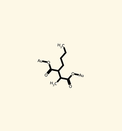 CCCCC(C(=O)[O][Au])C(C)C(=O)[O][Au]